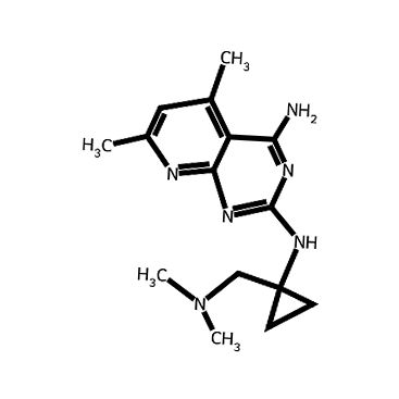 Cc1cc(C)c2c(N)nc(NC3(CN(C)C)CC3)nc2n1